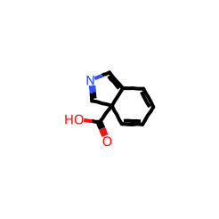 O=C(O)C12C=CC=CC1=CN=C2